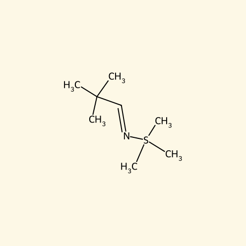 CC(C)(C)/C=N/S(C)(C)C